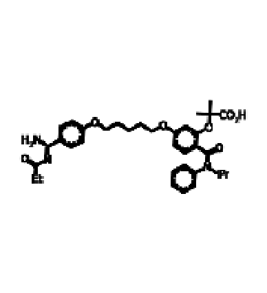 CCC(=O)N=C(N)c1ccc(OCCCCCOc2ccc(C(=O)N(c3ccccc3)C(C)C)c(OC(C)(C)C(=O)O)c2)cc1